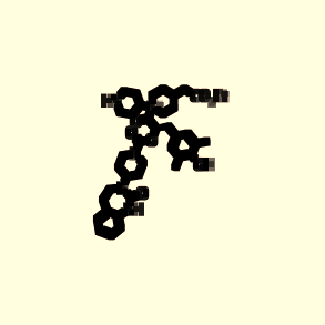 CCOC(=O)CC1CC[N+](C(=O)[C@@H](Cc2cc(C)c(O)c(C)c2)OC(=O)N2CCC(N3CCc4ccccc4NC3=O)CC2)(C2CCNCC2)CC1